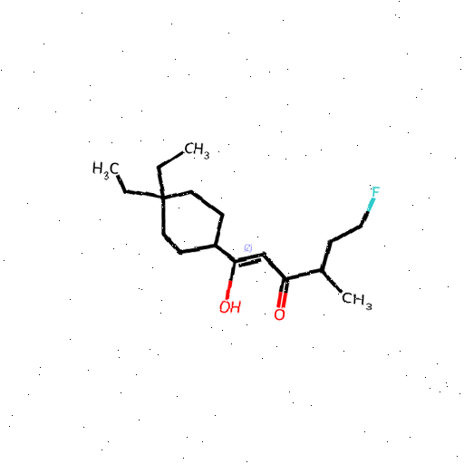 CCC1(CC)CCC(/C(O)=C/C(=O)C(C)CCF)CC1